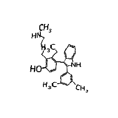 CCc1c(-c2c(-c3cc(C)cc(C)c3)[nH]c3ccccc23)ccc(O)c1CCCCNC